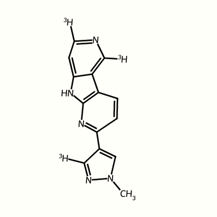 [3H]c1cc2[nH]c3nc(-c4cn(C)nc4[3H])ccc3c2c([3H])n1